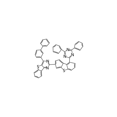 c1ccc(-c2cccc(-c3nc(-c4ccc5c(c4)sc4cccc(-c6nc(-c7ccccc7)nc(-c7ccccc7)n6)c45)nc4c3sc3ccccc34)c2)cc1